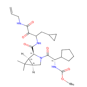 C=CCNC(=O)C(=O)C(CC1CC1)NC(=O)[C@@H]1[C@H]2[C@@H](CN1C(=O)[C@@H](NC(=O)OC(C)(C)C)C1CCCC1)C2(C)C